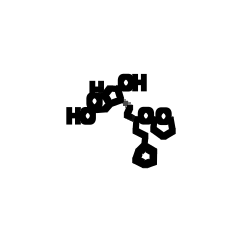 OC1CC2[C@H](C[C@@H](O)[C@@H]2CC[C@H](CCc2ccccc2)OC2CCCCO2)O1